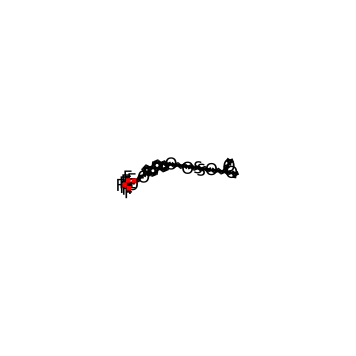 CC(C)OCC(CCCOCCSSCCOCCCCOc1ccc2c(c1)CCC1C2CCC2(C)C(OCCCOC(C(F)(F)F)(C(F)(F)F)C(F)(F)F)CCC12)COC(C)C